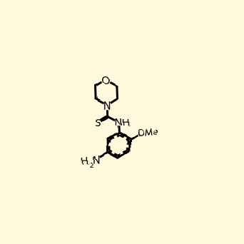 COc1ccc(N)cc1NC(=S)N1CCOCC1